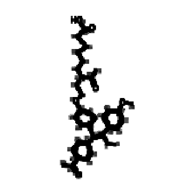 CCC(=C(c1ccc(OCCN(CCCCCC(=O)O)C(C)=O)cc1)c1ccc(C(C)=O)cc1)c1ccc(OC)cc1